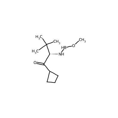 COBN[C@H](C(=O)C1CCC1)C(C)(C)C